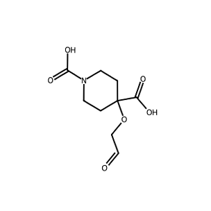 O=CCOC1(C(=O)O)CCN(C(=O)O)CC1